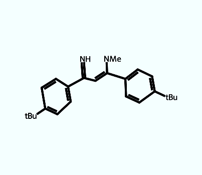 CN/C(=C\C(=N)c1ccc(C(C)(C)C)cc1)c1ccc(C(C)(C)C)cc1